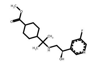 COC(=O)C1CCC(C(C)(C)NC[C@H](O)c2cncc(F)c2)CC1